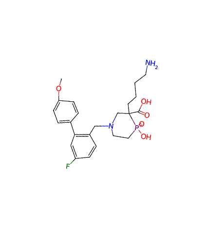 COc1ccc(-c2cc(F)ccc2CN2CCP(=O)(O)C(CCCCN)(C(=O)O)C2)cc1